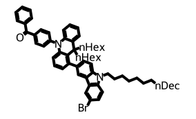 CCCCCCCCCCCCCCCCCn1c2ccc(Br)cc2c2cc(-c3cccc4c3C(CCCCCC)(CCCCCC)c3ccccc3N4c3ccc(C(=O)c4ccccc4)cc3)ccc21